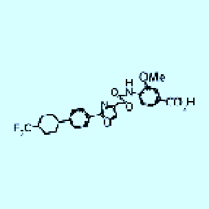 COc1cc(C(=O)O)ccc1NS(=O)(=O)c1coc(-c2ccc(C3CCC(C(F)(F)F)CC3)cc2)n1